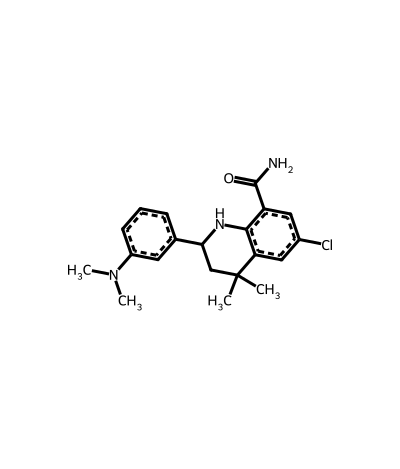 CN(C)c1cccc(C2CC(C)(C)c3cc(Cl)cc(C(N)=O)c3N2)c1